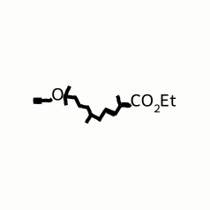 C#CCOC(C)(C)CCCC(C)C/C=C/C(C)=C/C(=O)OCC